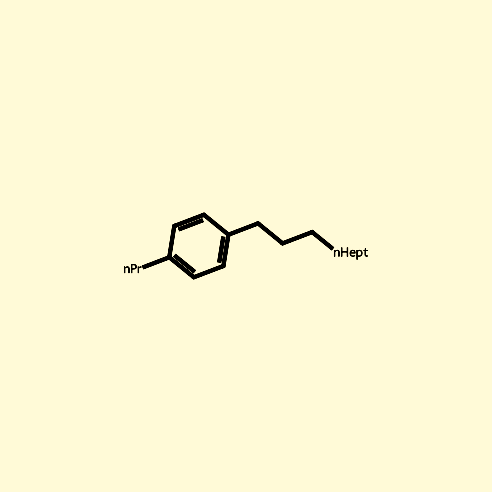 [CH2]CCc1ccc(CCCCCCCCCC)cc1